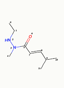 CCNN(C)C(=O)C=CC(C)C